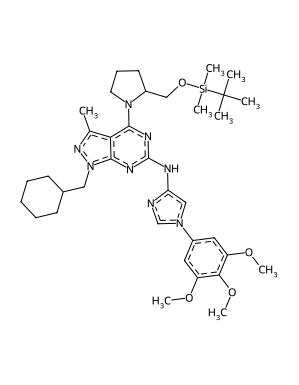 COc1cc(-n2cnc(Nc3nc(N4CCCC4CO[Si](C)(C)C(C)(C)C)c4c(C)nn(CC5CCCCC5)c4n3)c2)cc(OC)c1OC